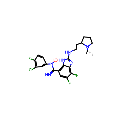 CN1CCCC1CCNc1nc2c(F)c(F)cc(C(=N)N(O)c3ccc(F)c(Cl)c3)c2[nH]1